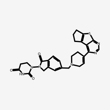 O=C1CCN(N2Cc3cc(CN4CC=C(c5ncnc6sc7c(c56)CCC7)CC4)ccc3C2=O)C(=O)N1